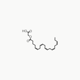 CC/C=C\C/C=C\C/C=C\C/C=C\C/C=C\CCCC(=O)OCC(=O)O